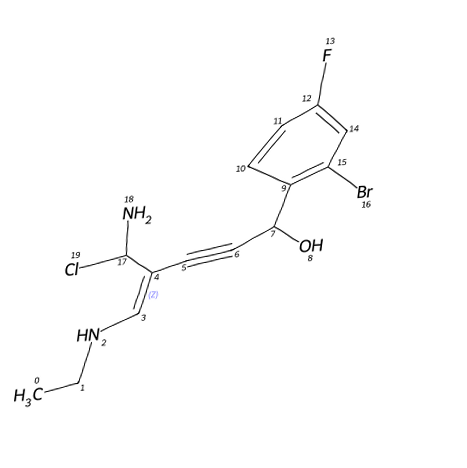 CCN/C=C(/C#CC(O)c1ccc(F)cc1Br)C(N)Cl